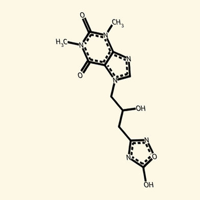 Cn1c(=O)c2c(ncn2CC(O)Cc2noc(O)n2)n(C)c1=O